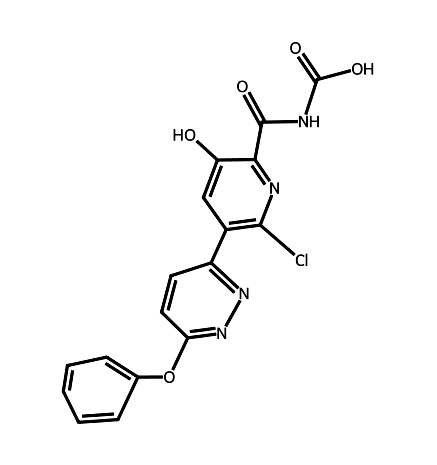 O=C(O)NC(=O)c1nc(Cl)c(-c2ccc(Oc3ccccc3)nn2)cc1O